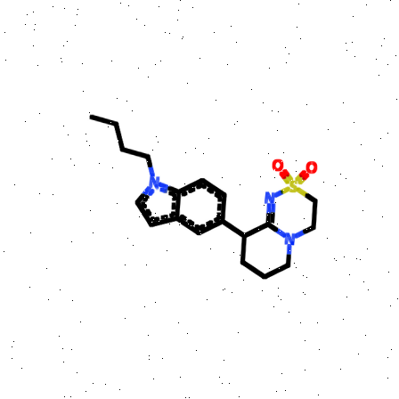 CCCCn1ccc2cc(C3CCCN4CCS(=O)(=O)N=C34)ccc21